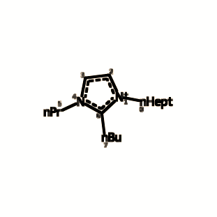 CCCCCCC[n+]1ccn(CCC)c1CCCC